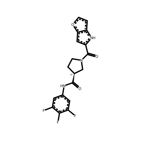 O=C(Nc1cc(F)c(F)c(F)c1)[C@H]1CCN(C(=O)c2cc3occc3[nH]2)C1